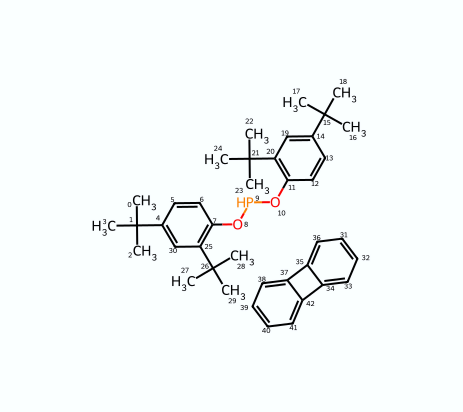 CC(C)(C)c1ccc(OPOc2ccc(C(C)(C)C)cc2C(C)(C)C)c(C(C)(C)C)c1.c1ccc2c(c1)-c1ccccc1-2